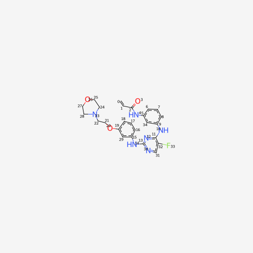 C=CC(=O)Nc1cccc(Nc2nc(Nc3cccc(OCCN4CCOCC4)c3)ncc2F)c1